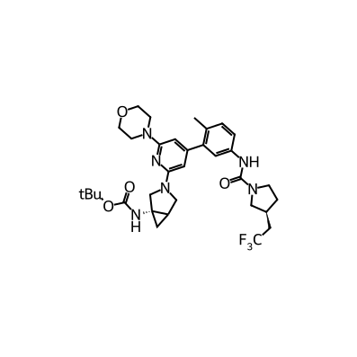 Cc1ccc(NC(=O)N2CC[C@@H](CC(F)(F)F)C2)cc1-c1cc(N2CCOCC2)nc(N2CC3C[C@@]3(NC(=O)OC(C)(C)C)C2)c1